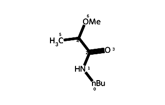 CCCCNC(=O)C(C)OC